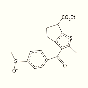 CCOC(=O)C1CCc2c1sc(C)c2C(=O)c1ccc([S+](C)[O-])cc1